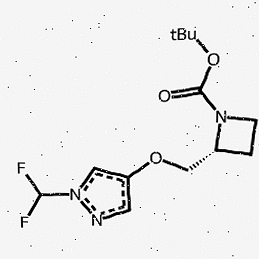 CC(C)(C)OC(=O)N1CC[C@@H]1COc1cnn(C(F)F)c1